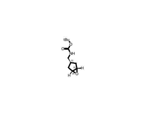 CC(C)(C)OC(=O)NC[C@H]1C[C@@H]2O[C@@H]2C1